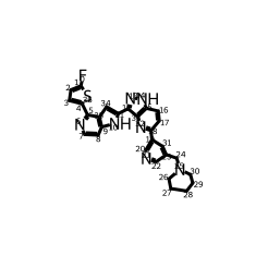 Fc1ccc(-c2nccc3[nH]c(-c4n[nH]c5ccc(-c6cncc(CN7CCCCC7)c6)nc45)cc23)s1